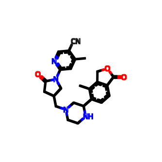 Cc1cc(N2CC(CN3CCNC(c4ccc5c(c4C)COC5=O)C3)CC2=O)ncc1C#N